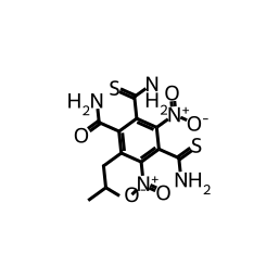 CC(C)Cc1c(C(N)=O)c(C(N)=S)c([N+](=O)[O-])c(C(N)=S)c1[N+](=O)[O-]